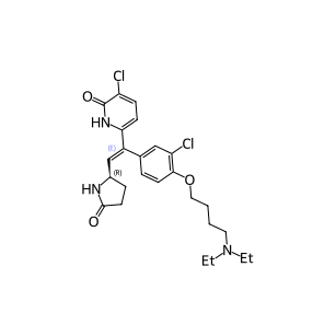 CCN(CC)CCCCOc1ccc(/C(=C\[C@H]2CCC(=O)N2)c2ccc(Cl)c(=O)[nH]2)cc1Cl